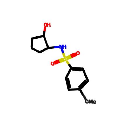 COc1ccc(S(=O)(=O)NC2CCCC2O)cc1